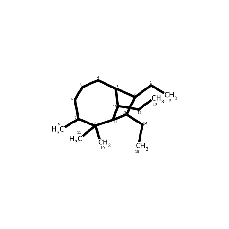 CCC1C2CCCC(C)C(C)(C)C(C1CC)C2CC